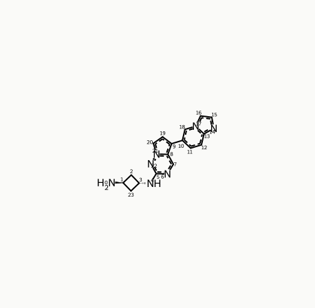 N[C@H]1C[C@H](Nc2ncc3c(-c4ccc5nccn5c4)ccn3n2)C1